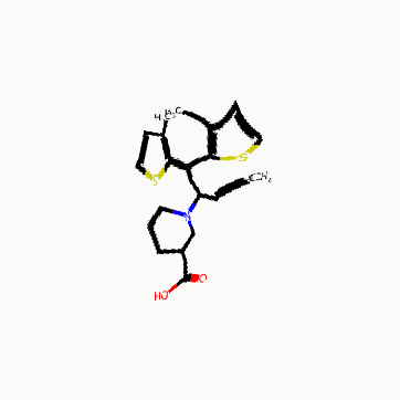 C=CC(C(c1sccc1C)c1sccc1C)N1CCCC(C(=O)O)C1